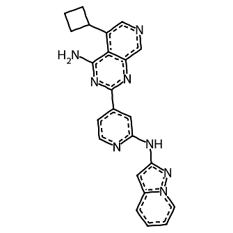 Nc1nc(-c2ccnc(Nc3cc4ccccn4n3)c2)nc2cncc(C3CCC3)c12